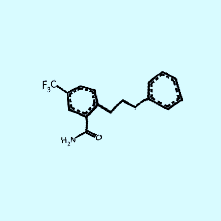 NC(=O)c1cc(C(F)(F)F)ccc1CC[CH]c1ccccc1